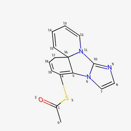 CC(=O)SC1=C2n3ccnc3N3C=CC=CC23CC=C1